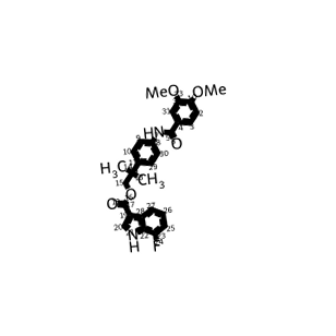 COc1ccc(C(=O)Nc2ccc(C(C)(C)COC(=O)c3c[nH]c4c(F)cccc34)cc2)cc1OC